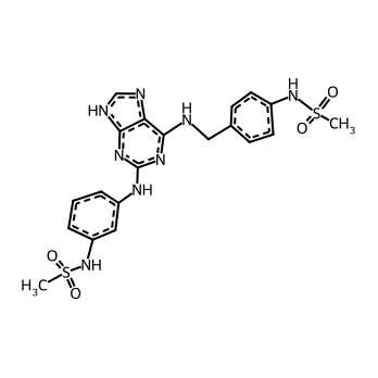 CS(=O)(=O)Nc1ccc(CNc2nc(Nc3cccc(NS(C)(=O)=O)c3)nc3[nH]cnc23)cc1